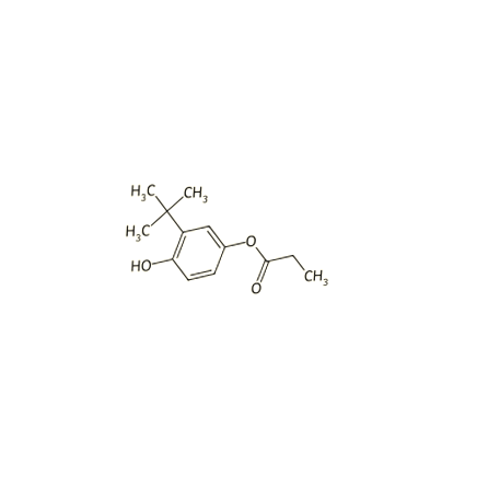 CCC(=O)Oc1ccc(O)c(C(C)(C)C)c1